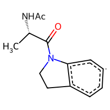 CC(=O)N[C@@H](C)C(=O)N1CCc2cc[c]cc21